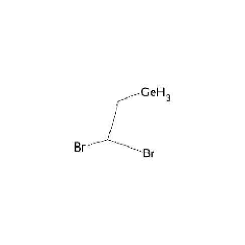 [GeH3][CH2]C(Br)Br